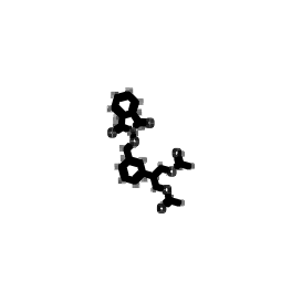 CC(=O)OCC(COC(C)=O)c1cccc(CON2C(=O)c3ccccc3C2=O)c1